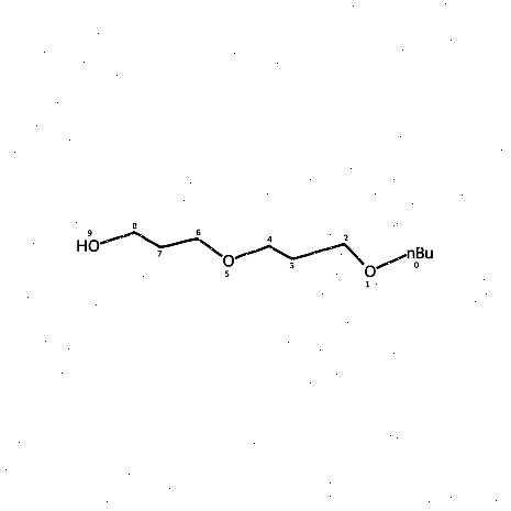 CCCCOCCCOCCCO